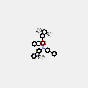 CC1(C)CCC(C)(C)c2cc(-c3ccc(N(c4ccc(-c5ccccc5)cc4)c4ccc5c(c4)C(C)(C)c4ccccc4-5)c4c3C3c5ccccc5C4c4ccccc43)ccc21